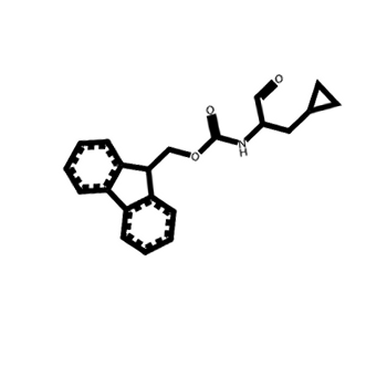 O=CC(CC1CC1)NC(=O)OCC1c2ccccc2-c2ccccc21